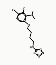 CC(C)c1c(OCCCCNc2nnn[nH]2)ccc(Cl)c1Cl